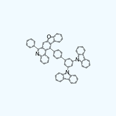 c1ccc(-c2nc3ccccc3c3c(-c4ccc(-c5cc(-n6c7ccccc7c7ccccc76)cc(-n6c7ccccc7c7ccccc76)c5)cc4)c4c(cc23)oc2ccccc24)cc1